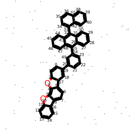 C1=CC2Oc3c(ccc4c3oc3ccccc34)C2C=C1c1cccc(-c2c3ccccc3c(-c3cccc4ccccc34)c3ccccc23)c1